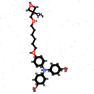 CC1(COCCCCCCOc2ccc(N(c3ccc(Br)cc3)c3ccc(Br)cc3)cc2)COC1